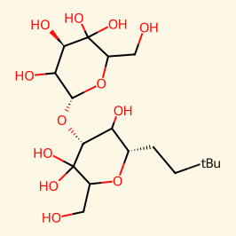 CC(C)(C)CC[C@@H]1OC(CO)C(O)(O)[C@H](O[C@H]2OC(CO)C(O)(O)[C@H](O)C2O)C1O